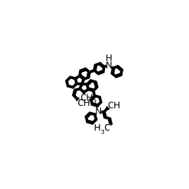 C#C/C=C\C1C(C)c2c(C3=CC=C(N(/C(C#C)=C/C=C\C)C4C=CC=CC4)CC3)cccc2C12c1cc(-c3ccc(Nc4ccccc4)cc3)ccc1C1CCCCC12